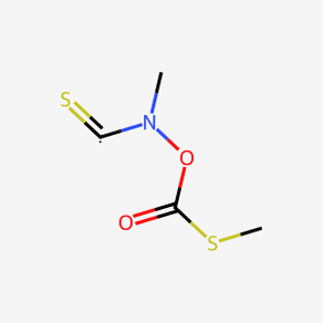 CSC(=O)ON(C)[C]=S